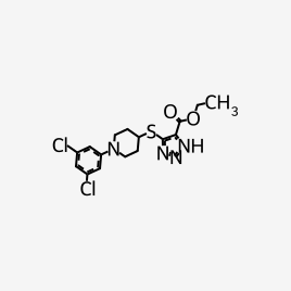 CCOC(=O)c1[nH]nnc1SC1CCN(c2cc(Cl)cc(Cl)c2)CC1